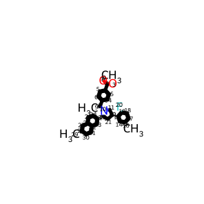 COC(=O)c1ccc(C(C)N2C[C@H](c3cc(C)ccc3F)C[C@@H]2c2ccc3cc(C)ccc3c2)cc1